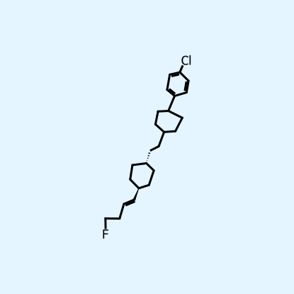 FCC/C=C/[C@H]1CC[C@H](CCC2CCC(c3ccc(Cl)cc3)CC2)CC1